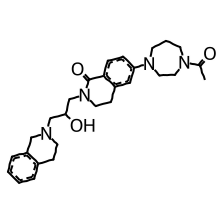 CC(=O)N1CCCN(c2ccc3c(c2)CCN(CC(O)CN2CCc4ccccc4C2)C3=O)CC1